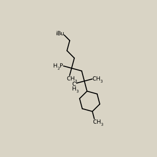 CCC(C)CCCC(C)(P)CC(C)(C)C1CCC(C)CC1